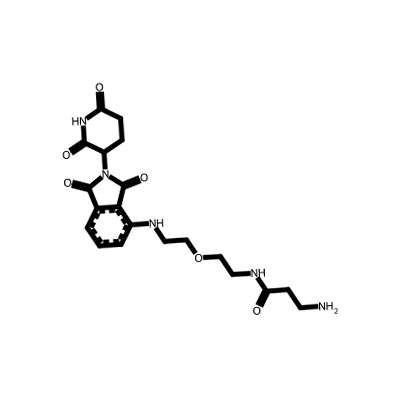 NCCC(=O)NCCOCCNc1cccc2c1C(=O)N(C1CCC(=O)NC1=O)C2=O